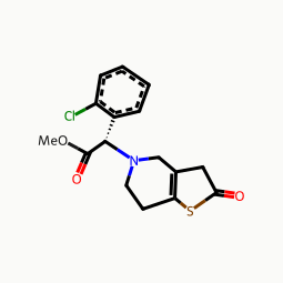 COC(=O)[C@H](c1ccccc1Cl)N1CCC2=C(CC(=O)S2)C1